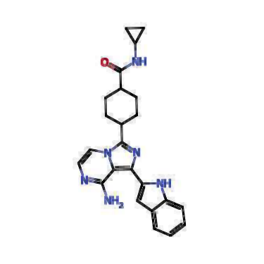 Nc1nccn2c(C3CCC(C(=O)NC4CC4)CC3)nc(-c3cc4ccccc4[nH]3)c12